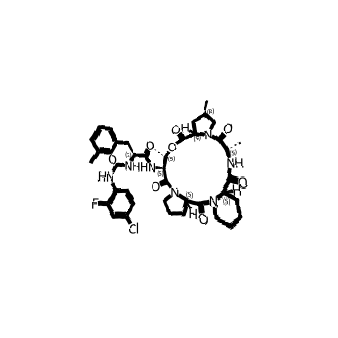 Cc1cccc(C[C@H](NC(=O)Nc2ccc(Cl)cc2F)C(=O)N[C@@H]2C(=O)N3CCC[C@H]3C(=O)N3CCCC[C@H]3C(=O)N[C@@H](C)C(=O)N3C[C@H](C)C[C@H]3C(=O)O[C@H]2C)c1